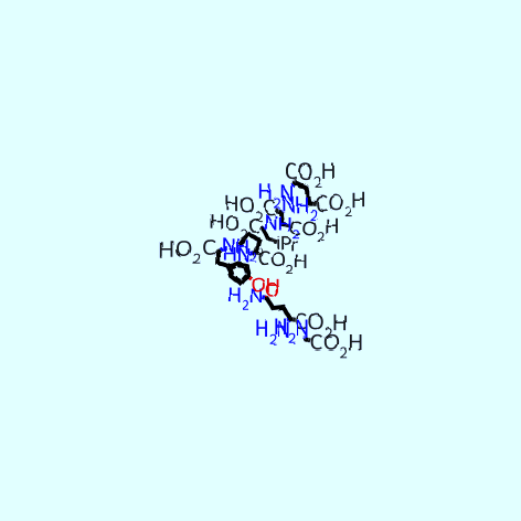 CC(C)CC(N)C(=O)O.NC(=O)CCC(N)C(=O)O.NC(CC(=O)O)C(=O)O.NC(CCC(=O)O)C(=O)O.NC(Cc1ccc(O)cc1)C(=O)O.NCC(=O)O.O=C(O)[C@@H]1CCCN1